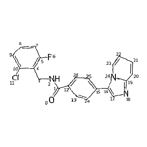 O=C(NCc1c(F)cccc1Cl)c1ccc(-c2cnc3ccccn23)cc1